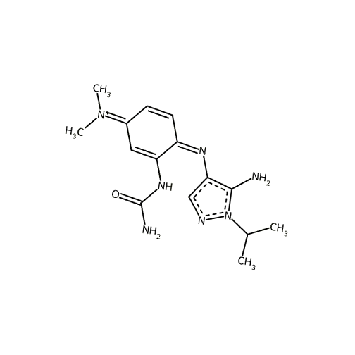 CC(C)n1ncc(/N=C2/C=CC(=[N+](C)C)C=C2NC(N)=O)c1N